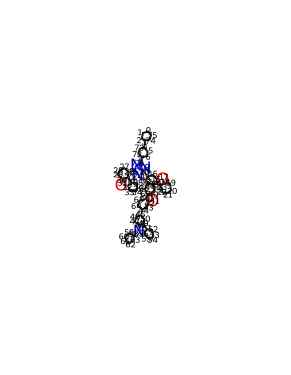 c1ccc(-c2ccc(-c3nc(-c4ccc5c(c4)oc4ccccc45)nc(-c4cccc5oc6ccc(-c7cccc8oc9cc(-c%10ccc%11c(c%10)c%10ccccc%10n%11-c%10ccccc%10)ccc9c78)cc6c45)n3)cc2)cc1